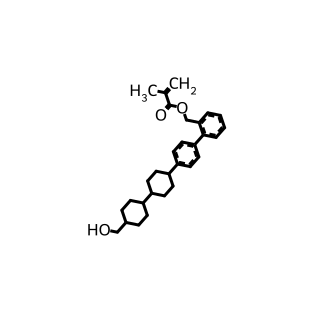 C=C(C)C(=O)OCc1ccccc1-c1ccc(C2CCC(C3CCC(CO)CC3)CC2)cc1